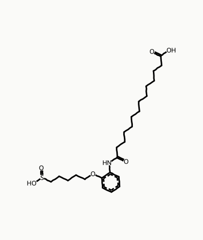 O=C(O)CCCCCCCCCCCCC(=O)Nc1ccccc1OCCCCCS(=O)O